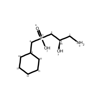 NC[C@@H](O)CP(=O)(O)CC1CCCCC1